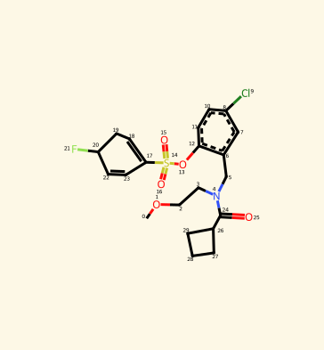 COCCN(Cc1cc(Cl)ccc1OS(=O)(=O)C1=CCC(F)C=C1)C(=O)C1CCC1